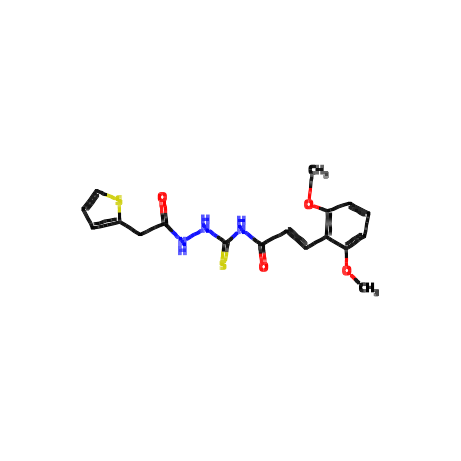 COc1cccc(OC)c1C=CC(=O)NC(=S)NNC(=O)Cc1cccs1